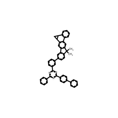 CC1(C)c2ccc(-c3cccc(-c4nc(-c5ccccc5)nc(-c5ccc(-c6ccccc6)cc5)n4)c3)cc2-c2cc3c(cc21)-c1ccccc1C1CC31